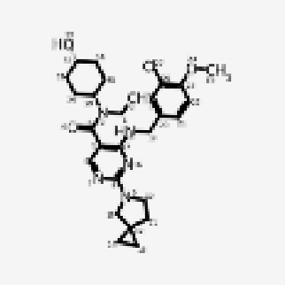 CCN(C(=O)c1cnc(N2CCC3(CC3)C2)nc1NCc1ccc(OC)c(Cl)c1)[C@H]1CC[C@H](O)CC1